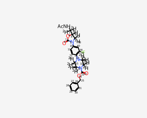 [2H]C([2H])(NC(C)=O)C1([2H])OC(=O)N(c2ccc(N3C([2H])([2H])C([2H])([2H])N(C(=O)OCc4ccccc4)C([2H])([2H])C3([2H])[2H])c(F)c2)C1([2H])[2H]